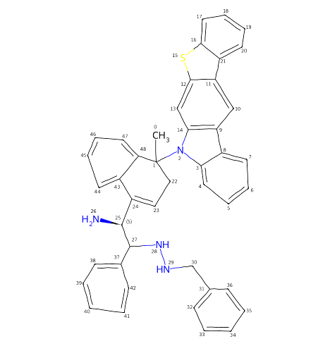 CC1(n2c3ccccc3c3cc4c(cc32)sc2ccccc24)CC=C([C@H](N)C(NNCc2ccccc2)c2ccccc2)c2ccccc21